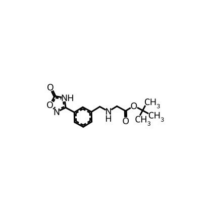 CC(C)(C)OC(=O)CNCc1cccc(-c2noc(=O)[nH]2)c1